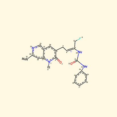 CCn1c(=O)c(C/C=C(\CF)NC(=O)Nc2ccccc2)cc2cnc(NC)cc21